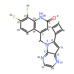 O=c1cc(Cn2c(C3=CC=C3)cc3nccnc32)c2ccc(F)c(F)c2[nH]1